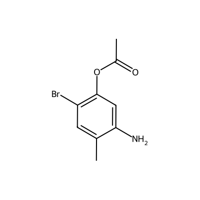 CC(=O)Oc1cc(N)c(C)cc1Br